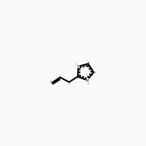 C=CCc1nccs1